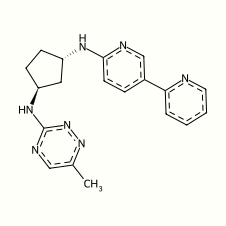 Cc1cnc(N[C@H]2CC[C@H](Nc3ccc(-c4ccccn4)cn3)C2)nn1